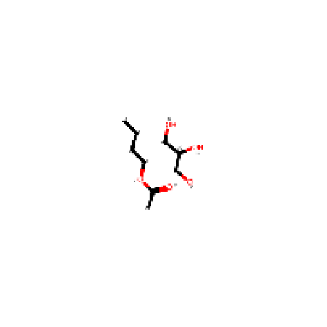 CCCCOC(C)=O.OCC(O)CO